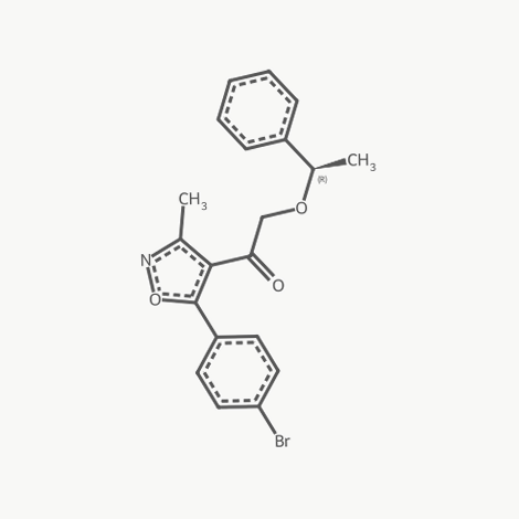 Cc1noc(-c2ccc(Br)cc2)c1C(=O)CO[C@H](C)c1ccccc1